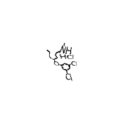 CCCC(CCNC)Oc1cc(Cl)cc(Cl)c1.Cl